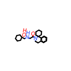 O=C(CNCC1(O)CCCCC1)N1CCc2ccccc2C12CCCCC2